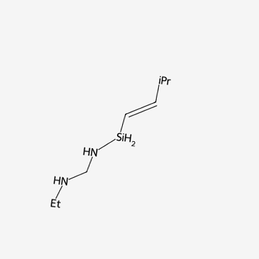 CCNCN[SiH2]C=CC(C)C